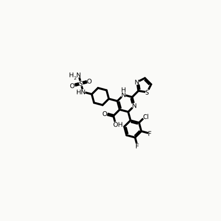 NS(=O)(=O)NC1CCC(C2=C(C(=O)O)C(c3ccc(F)c(F)c3Cl)N=C(c3nccs3)N2)CC1